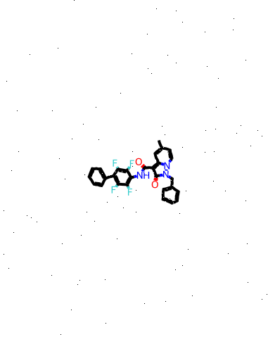 Cc1ccn2c(c1)c(C(=O)Nc1c(F)c(F)c(-c3ccccc3)c(F)c1F)c(=O)n2Cc1ccccc1